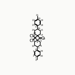 Cc1ccc(C2CCC3(CC2)C(=O)C2(CCC(c4ccc(C)cc4)CC2)C3(Cl)Cl)cc1